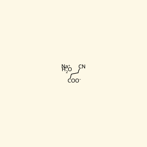 N#CCCC(=O)[O-].O.[Na+]